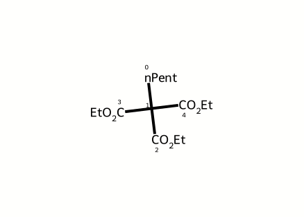 CCCCCC(C(=O)OCC)(C(=O)OCC)C(=O)OCC